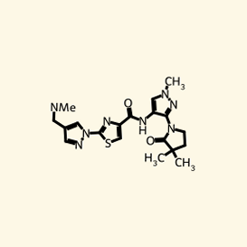 CNCc1cnn(-c2nc(C(=O)Nc3cn(C)nc3N3CCC(C)(C)C3=O)cs2)c1